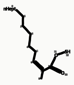 CCCCCCCCCCCCC=C(C)C(=O)OS